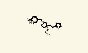 CCOC[C@]1(CCc2cccs2)CCN(Cc2ccc(=O)[nH]c2)C1